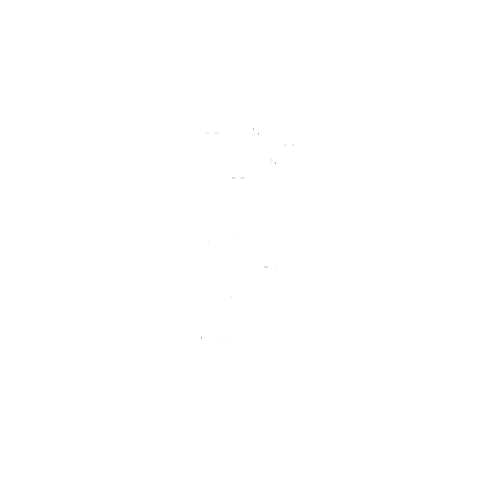 c1ccc(-c2nc3ccccc3nc2-c2ccc3c(c2)C(c2ccccc2)(c2ccccc2)c2cc(-c4ccc(-c5nc6ccccc6o5)cc4)ccc2-3)cc1